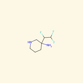 NC1(C(F)C(F)F)CCCNC1